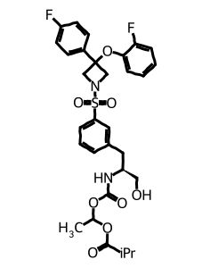 CC(OC(=O)N[C@H](CO)Cc1cccc(S(=O)(=O)N2CC(Oc3ccccc3F)(c3ccc(F)cc3)C2)c1)OC(=O)C(C)C